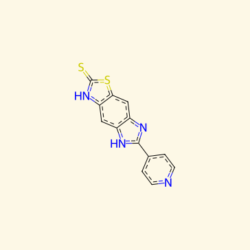 S=c1[nH]c2cc3[nH]c(-c4ccncc4)nc3cc2s1